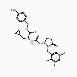 O=C(C[C@@H]1CCC(=O)N1Cc1cc(F)cc(F)c1F)N[C@@H](CC1CC1)C(=O)OCc1ccc(C(F)(F)F)cc1